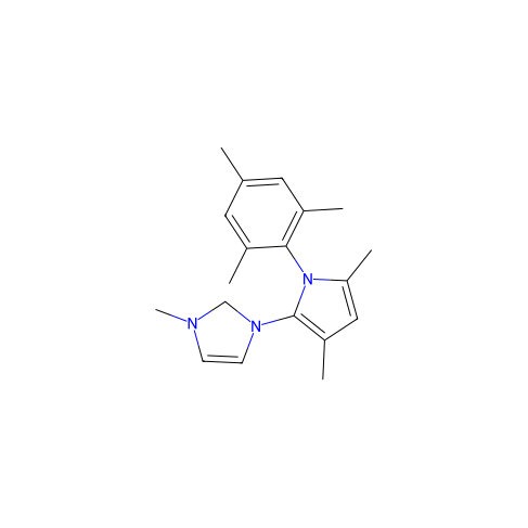 Cc1cc(C)c(-n2c(C)cc(C)c2N2C=CN(C)C2)c(C)c1